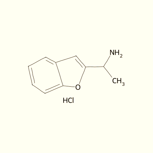 CC(N)c1cc2ccccc2o1.Cl